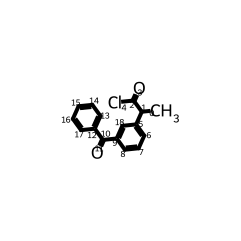 CC(C(=O)Cl)c1cccc(C(=O)c2ccccc2)c1